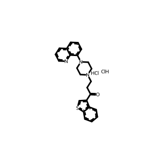 Cl.Cl.O=C(CCN1CCN(c2cccc3cccnc23)CC1)c1csc2ccccc12